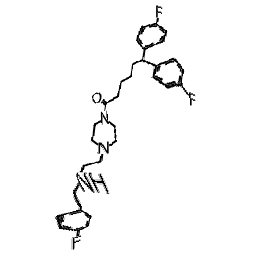 O=C(CCCCC(c1ccc(F)cc1)c1ccc(F)cc1)N1CCN(CCNCc2ccc(F)cc2)CC1